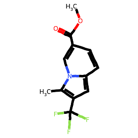 COC(=O)c1ccc2cc(C(F)(F)F)c(C)n2c1